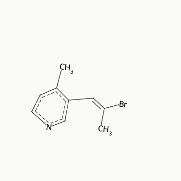 C/C(Br)=C\c1cnccc1C